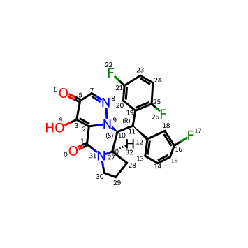 O=C1c2c(O)c(=O)cnn2[C@@H]([C@H](c2cccc(F)c2)c2cc(F)ccc2F)[C@H]2CCCN12